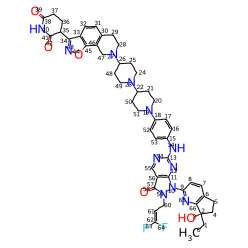 CC[C@@]1(O)CCc2ccc(-n3c4nc(Nc5ccc(N6CCC(N7CCC(N8CCc9ccc%10c(C%11CCC(=O)NC%11=O)noc%10c9C8)CC7)CC6)cc5)ncc4c(=O)n3CC=C(F)F)nc21